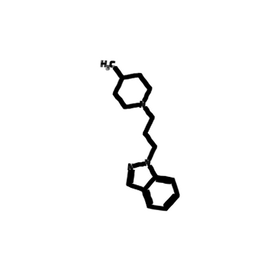 CC1CCN(CCCn2ncc3ccccc32)CC1